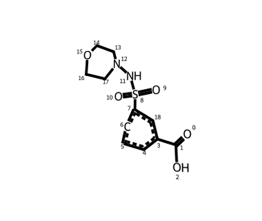 O=C(O)c1cccc(S(=O)(=O)NN2CCOCC2)c1